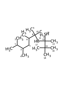 CC(C)C(C)CC(C)C(C)(C)BC(C)(S)C(C)(C)C